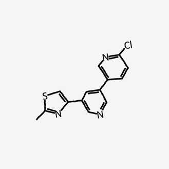 Cc1nc(-c2cncc(-c3ccc(Cl)nc3)c2)cs1